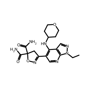 CCn1ncc2c(NC3CCOCC3)c(C3=NOC(C(N)=O)(C(N)=O)C3)cnc21